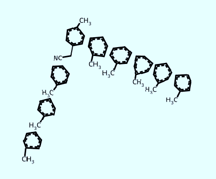 Cc1ccc(CC#N)cc1.Cc1ccccc1.Cc1ccccc1.Cc1ccccc1.Cc1ccccc1.Cc1ccccc1.Cc1ccccc1.Cc1ccccc1.Cc1ccccc1